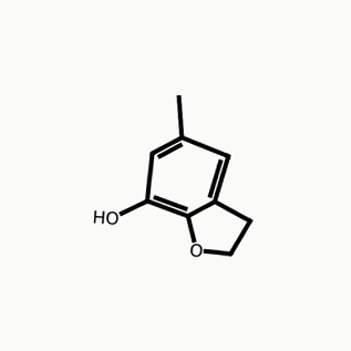 Cc1cc(O)c2c(c1)CCO2